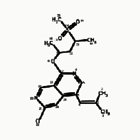 CC(C)=Cc1cnc(OC(C)CC(C)S(C)(=O)=O)c2cnc(Cl)cc12